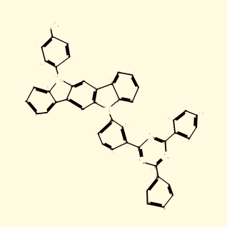 N#Cc1ccc(-n2c3ccccc3c3cc4c(cc32)c2ccccc2n4-c2cccc(-c3nc(-c4ccccc4)nc(-c4ccccc4)n3)c2)cc1